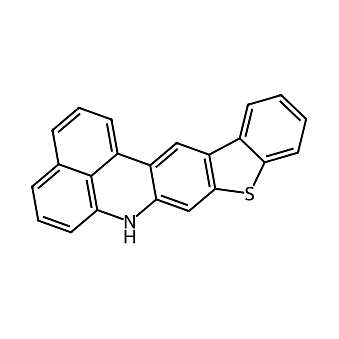 c1cc2c3c(cccc3c1)-c1cc3c(cc1N2)sc1ccccc13